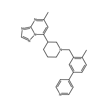 Cc1cc(C2CCCN(Cc3cc(-c4ccncc4)ccc3C)C2)n2ncnc2n1